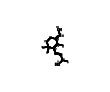 CC1=C(C=CC(C)O)C(C)(C)CCC1=NO